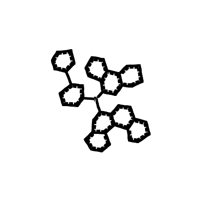 c1ccc(-c2cccc(N(c3cc4ccccc4c4ccccc34)c3cc4ccccc4c4c3ccc3ccccc34)c2)cc1